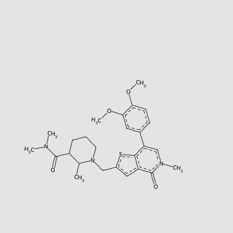 COc1ccc(-c2cn(C)c(=O)c3cc(CN4CCCC(C(=O)N(C)C)C4C)sc23)cc1OC